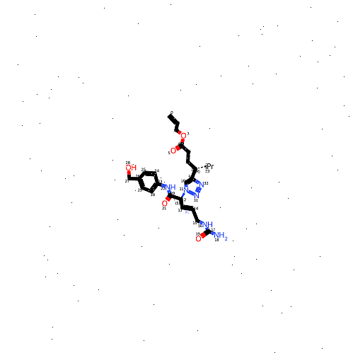 C=CCOC(=O)CC[C@@H](c1cn([C@@H](/C=C/CNC(N)=O)C(=O)Nc2ccc(CO)cc2)nn1)C(C)C